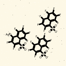 O=S(=O)([O-])c1c(F)c(F)c(F)c2c(F)c(F)c(F)c(F)c12.O=S(=O)([O-])c1c(F)c(F)c(F)c2c(F)c(F)c(F)c(F)c12.O=S(=O)([O-])c1c(F)c(F)c(F)c2c(F)c(F)c(F)c(F)c12.[Ag+3]